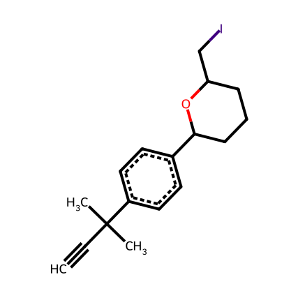 C#CC(C)(C)c1ccc(C2CCCC(CI)O2)cc1